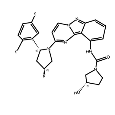 O=C(Nc1cccc2nn3ccc(N4C[C@@H](F)C[C@@H]4c4cc(F)ccc4F)nc3c12)N1CC[C@H](O)C1